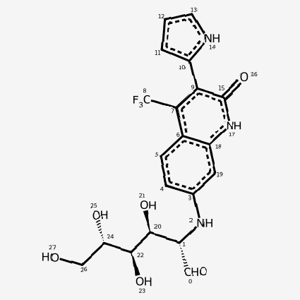 O=C[C@@H](Nc1ccc2c(C(F)(F)F)c(-c3ccc[nH]3)c(=O)[nH]c2c1)[C@H](O)[C@@H](O)[C@@H](O)CO